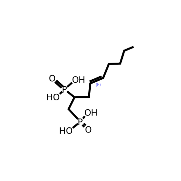 CCCC/C=C/CC(CP(=O)(O)O)P(=O)(O)O